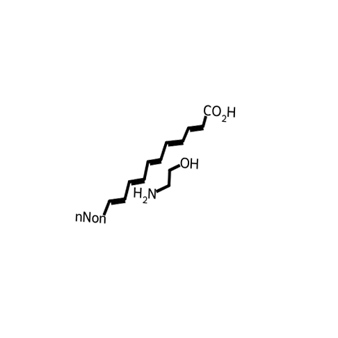 CCCCCCCCCC=CC=CC=CC=CC=CC(=O)O.NCCO